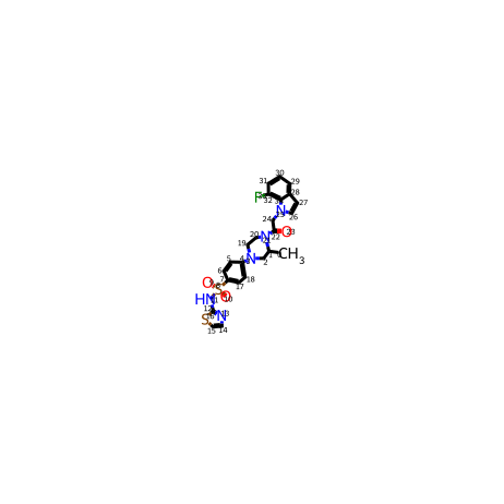 CC1CN(c2ccc(S(=O)(=O)Nc3nccs3)cc2)CCN1C(=O)Cn1ccc2cccc(F)c21